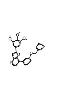 COc1cc(-c2cc3nccc(-c4cccc(OCc5ccccc5)c4)c3o2)cc(OC)c1OC